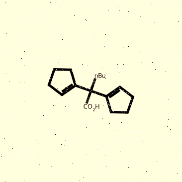 CCCCC(C(=O)O)(C1=CCCC1)C1=CCCC1